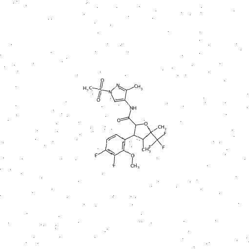 COc1c(C2C(C(=O)Nc3cn(S(C)(=O)=O)nc3C)OC(C)(C(F)(F)F)C2C)ccc(F)c1F